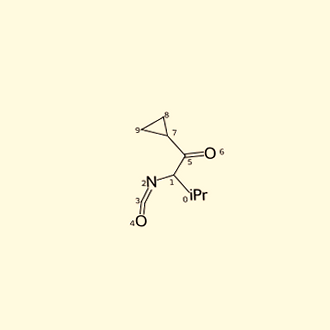 CC(C)C(N=C=O)C(=O)C1CC1